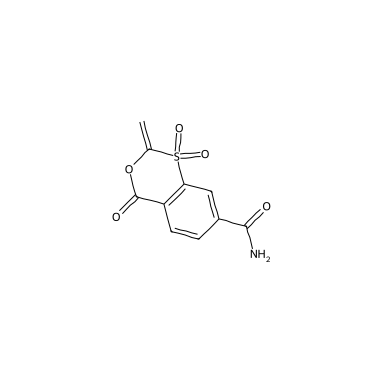 C=C1OC(=O)c2ccc(C(N)=O)cc2S1(=O)=O